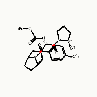 CC(C)(C)OC(=O)N[C@H](C(=O)N1CCC[C@H]1C#N)C1CC2CCC(C1)N2C(=O)c1ccc(C(F)(F)F)cc1